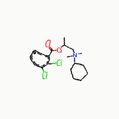 CC(C[N+](C)(C)C1CCCCC1)OC(=O)c1cccc(Cl)c1Cl